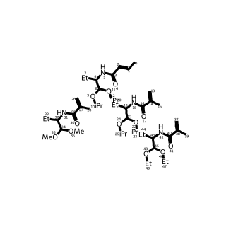 C/C=C/C(=O)NC(CC)C(OC(C)C)OC(C)C.C=C(C)C(=O)NC(CC)C(OC(C)C)OC(C)C.C=C(C)C(=O)NC(CC)C(OC)OC.C=C(C)C(=O)NC(CC)C(OCC)OCC